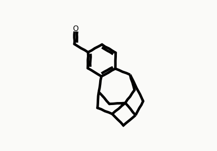 O=Cc1ccc2c(c1)C1CC3CC4CC2CC43C1